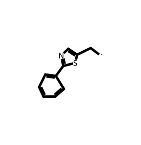 [CH2]Cc1cnc(-c2ccccc2)s1